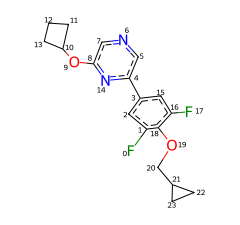 Fc1cc(-c2cncc(OC3CCC3)n2)cc(F)c1OCC1CC1